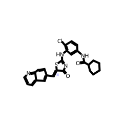 O=C1N=C(Nc2cc(NC(=O)C3CCCCC3)ccc2Cl)S/C1=C\c1ccc2ncccc2c1